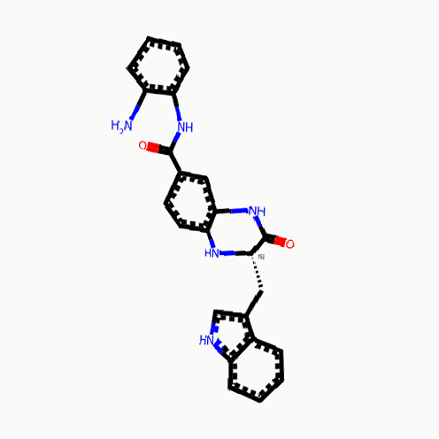 Nc1ccccc1NC(=O)c1ccc2c(c1)NC(=O)[C@H](Cc1c[nH]c3ccccc13)N2